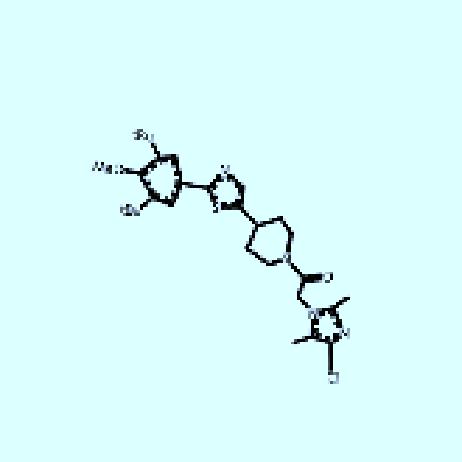 COc1c(C(C)(C)C)cc(-c2ncc(C3CCN(C(=O)Cn4c(C)nc(Cl)c4C)CC3)s2)cc1C(C)(C)C